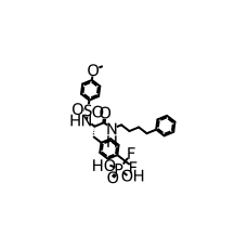 COc1ccc(S(=O)(=O)N[C@@H](Cc2ccc(C(F)(F)P(=O)(O)O)cc2)C(=O)NCCCCc2ccccc2)cc1